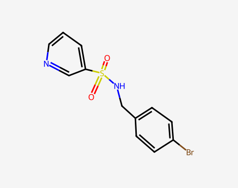 O=S(=O)(NCc1ccc(Br)cc1)c1cccnc1